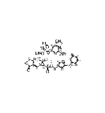 CC1(C)[C@H](/C=C2\CCSC2=O)[C@@H]1C(=O)OCc1coc(Cc2ccccc2)c1.CCOP(=S)(OCC)Oc1cc(C)nc(C(C)C)n1